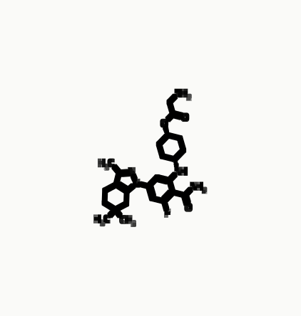 Cc1nn(-c2cc(F)c(C(N)=O)c(N[C@H]3CC[C@H](OC(=O)CN)CC3)c2)c2c1CCC(C)(C)C2